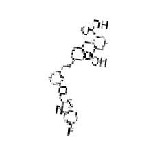 O=C(O)c1cccc(C(=O)O)c1Cc1ccc(C=Cc2cccc(OCc3nc4cc(F)ccc4s3)c2)cc1